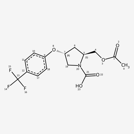 CC(=O)OC[C@@H]1C[C@@H](Oc2ccc(C(F)(F)F)cc2)CN1C(=O)O